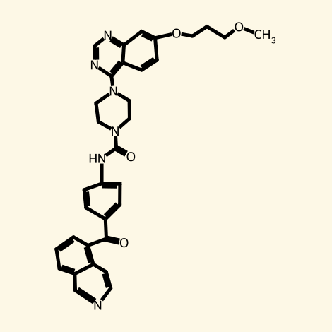 COCCCOc1ccc2c(N3CCN(C(=O)Nc4ccc(C(=O)c5cccc6cnccc56)cc4)CC3)ncnc2c1